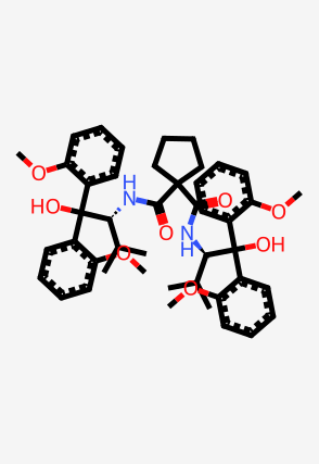 COc1ccccc1C(O)(c1ccccc1OC)[C@H](NC(=O)C1(C(=O)N[C@H](C(C)C)C(O)(c2ccccc2OC)c2ccccc2OC)CCCC1)C(C)C